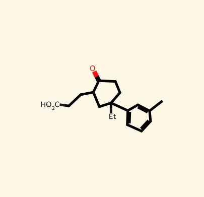 CCC1(c2cccc(C)c2)CCC(=O)C(CCC(=O)O)C1